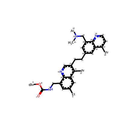 CCc1cc(CNC(=O)OC(C)(C)C)c2ncc(CCc3cc(CN(C)C(C)=O)c4nccc(C(C)C)c4c3)c(C(C)C)c2c1